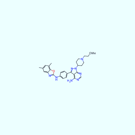 COCCN1CCC(n2nc(-c3ccc(Nc4nc5cc(C)cc(C)c5o4)cc3)c3c(N)ncnc32)CC1